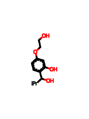 CC(C)C(O)c1ccc(OCCO)cc1O